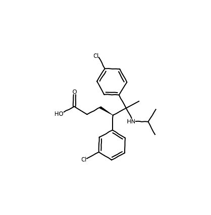 CC(C)NC(C)(c1ccc(Cl)cc1)[C@H](CCC(=O)O)c1cccc(Cl)c1